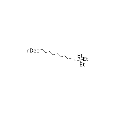 CCCCCCCCCCCCCCCCCCCCC(CC)(CC)CC